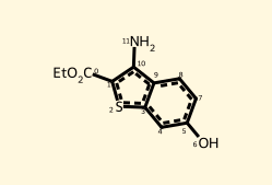 CCOC(=O)c1sc2cc(O)ccc2c1N